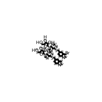 OCC1OC(n2cnc3c(SCc4ccc5nsc(Br)c5c4)ncnc32)C(O)C1O.OCC1OC(n2cnc3c(SCc4ccc5nscc5c4)ncnc32)C(O)C1O